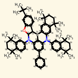 CC(C)(C)c1ccc2c(c1)OC1C2B2c3cc4c(cc3N(c3ccc5c(c3)C(C)(C)CCC5(C)C)c3cc(-c5ccccc5)cc(c32)N1c1ccc2c(c1)C(C)(C)CCC2(C)C)C(C)(C)CCC4(C)C